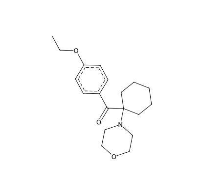 CCOc1ccc(C(=O)C2(N3CCOCC3)CCCCC2)cc1